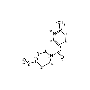 Cc1ccc(C(=O)N2CCN(C=O)CC2)cn1